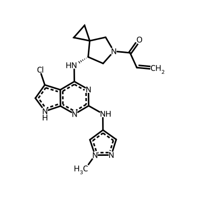 C=CC(=O)N1C[C@H](Nc2nc(Nc3cnn(C)c3)nc3[nH]cc(Cl)c23)C2(CC2)C1